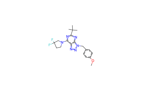 COc1ccc(Cn2nnc3c(N4CCC(F)(F)C4)nc(C(C)(C)C)nc32)cc1